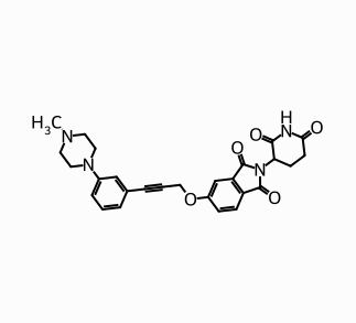 CN1CCN(c2cccc(C#CCOc3ccc4c(c3)C(=O)N(C3CCC(=O)NC3=O)C4=O)c2)CC1